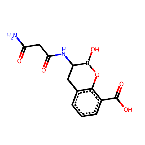 NC(=O)CC(=O)NC1Cc2cccc(C(=O)O)c2OB1O